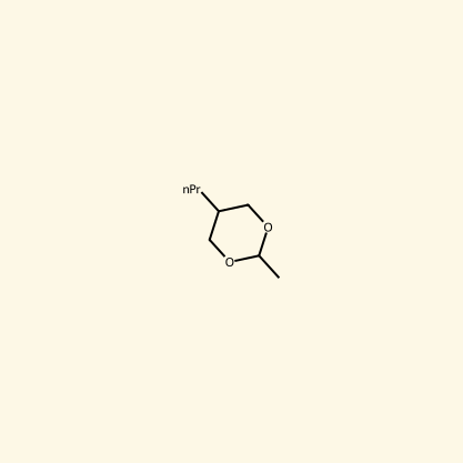 CCCC1COC(C)OC1